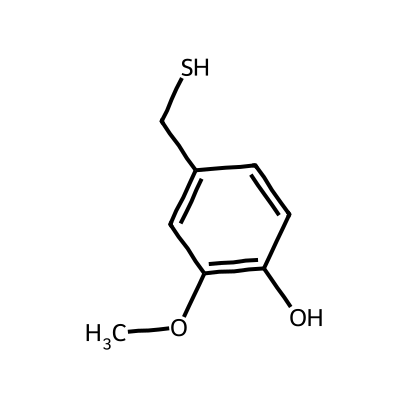 COc1cc(CS)ccc1O